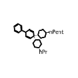 CCCCC[C@H]1CC[C@H](C2([C@H]3CC[C@H](CCC)CC3)C=CC(c3ccccc3)C=C2)CC1